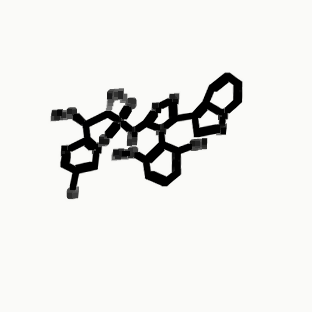 COc1cccc(O)c1-n1c(NS(=O)(=O)[C@@H](C)[C@H](OC)c2ncc(Cl)cn2)nnc1-c1cnn2ccccc12